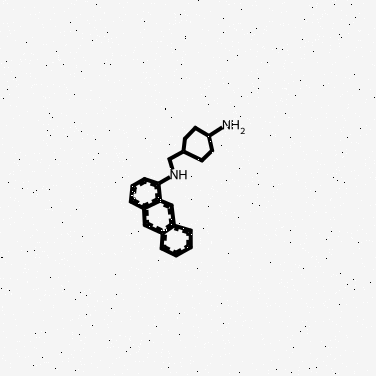 NC1CCC(CNc2cccc3cc4ccccc4cc23)CC1